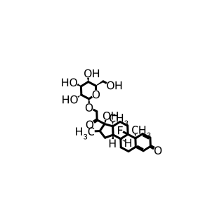 CC1C[C@H]2[C@@H]3CCC4=CC(=O)C=C[C@]4(C)C3(F)CC[C@]2(C)[C@@]1(O)C(=O)CO[C@@H]1O[C@H](CO)[C@H](O)[C@H](O)[C@H]1O